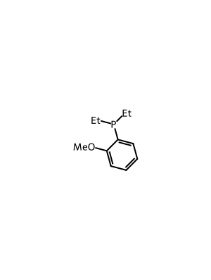 CCP(CC)c1ccccc1OC